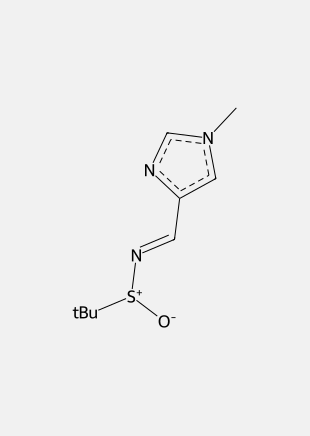 Cn1cnc(C=N[S+]([O-])C(C)(C)C)c1